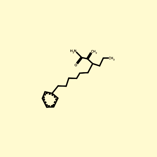 C=C(C(N)=O)C(CCC)CCCCCCc1ccccc1